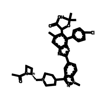 CC(=O)N1CC[C@@H]1CN1CCC(c2nn(C)c3ccc(-c4nc5cc(C)c(C(OC(C)(C)C)C(=O)O)c(-c6ccc(Cl)cc6)c5s4)cc23)CC1